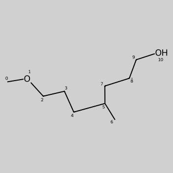 COCCCC(C)C[CH]CO